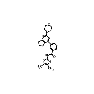 Cc1nc(NC(=O)c2cccc(-c3nc(N4CCOCC4)nc4c3CCC4)c2)sc1C